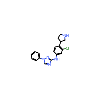 Clc1cc(Nc2ncn(-c3ccccc3)n2)ccc1C1CCNC1